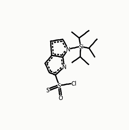 CC(C)[Si](C(C)C)(C(C)C)n1ccc2ccc(S(=O)(=S)Cl)nc21